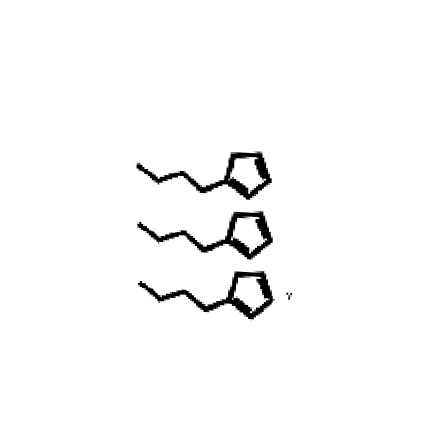 CCCCC1=CC=CC1.CCCCC1=CC=CC1.CCCCC1=CC=CC1.[Y]